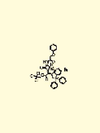 O=C(COc1ccccc1)N[C@@H]1C(=O)N2C(C(=O)OCC(Cl)(Cl)Cl)=C(C[P+](c3ccccc3)(c3ccccc3)c3ccccc3)CS[C@H]12.[Br-]